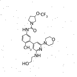 Cc1ccc(NC(=O)N2CCC(OC(F)(F)F)C2)cc1-c1cc(NCCO)nc(N2CCOCC2)c1